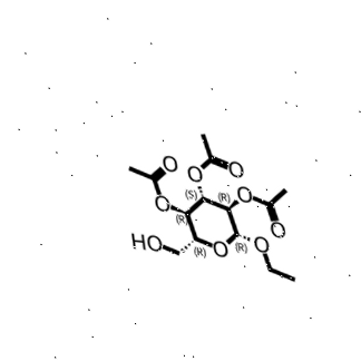 CCO[C@@H]1O[C@H](CO)[C@@H](OC(C)=O)[C@H](OC(C)=O)[C@H]1OC(C)=O